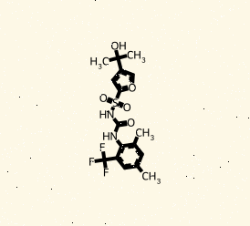 Cc1cc(C)c(NC(=O)NS(=O)(=O)c2cc(C(C)(C)O)co2)c(C(F)(F)F)c1